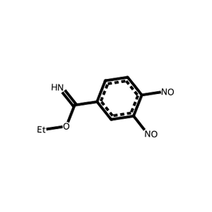 CCOC(=N)c1ccc(N=O)c(N=O)c1